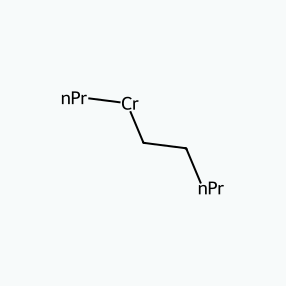 [CH2]C[CH2][Cr][CH2]CCCC